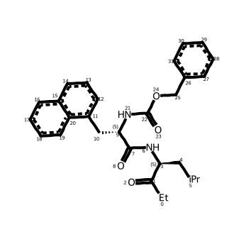 CCC(=O)[C@H](CC(C)C)NC(=O)[C@H](Cc1cccc2ccccc12)NC(=O)OCc1ccccc1